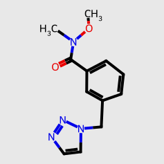 CON(C)C(=O)c1cccc(Cn2ccnn2)c1